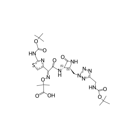 CC(C)(C)OC(=O)NCc1nnn(C[C@@H]2NC(=O)[C@H]2NC(=O)C(=NOC(C)(C)C(=O)O)c2csc(NC(=O)OC(C)(C)C)n2)n1